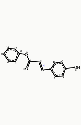 O=C(/C=C/c1ccc(O)cc1)Oc1ccccc1